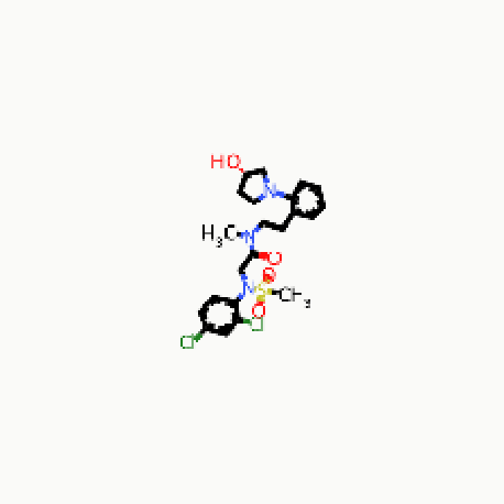 CN(CCc1ccccc1N1CC[C@H](O)C1)C(=O)CN(c1ccc(Cl)cc1Cl)S(C)(=O)=O